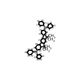 CC1(C)c2cc(N(c3ccccc3)c3ccccc3)ccc2-c2cc3c(cc21)C(C)(C)c1cc(N(c2ccccc2)c2ccccc2)ccc1-3